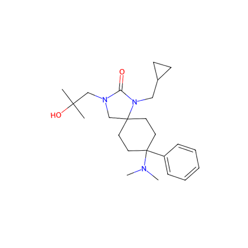 CN(C)C1(c2ccccc2)CCC2(CC1)CN(CC(C)(C)O)C(=O)N2CC1CC1